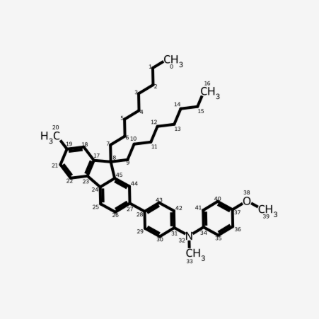 CCCCCCCCC1(CCCCCCCC)c2cc(C)ccc2-c2ccc(-c3ccc(N(C)c4ccc(OC)cc4)cc3)cc21